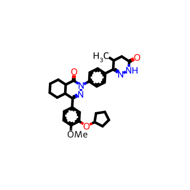 COc1ccc(C2=NN(c3ccc(C4=NNC(=O)CC4C)cc3)C(=O)C3CCCCC23)cc1OC1CCCC1